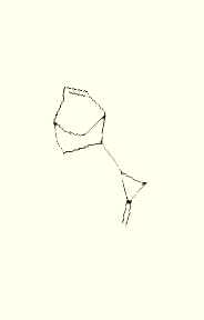 O=C1CC1C1CC2C=CC1C2